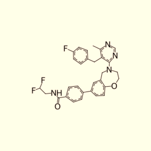 Cc1ncnc(N2CCOc3ccc(-c4ccc(C(=O)NCC(F)F)cc4)cc3C2)c1Cc1ccc(F)cc1